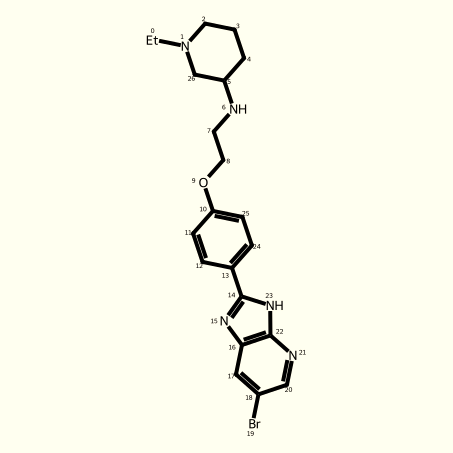 CCN1CCCC(NCCOc2ccc(-c3nc4cc(Br)cnc4[nH]3)cc2)C1